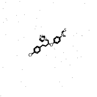 CN(C=S)c1ccc(OC(CCc2ccc(Cl)cc2)Cn2ccnc2)cc1